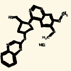 COc1cc2ncnc(N3CC(Oc4cnc5ccccc5n4)CC3CO)c2cc1OC.Cl